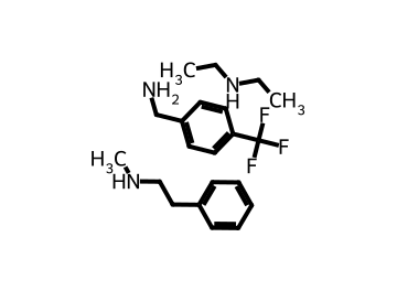 CCNCC.CNCCc1ccccc1.NCc1ccc(C(F)(F)F)cc1